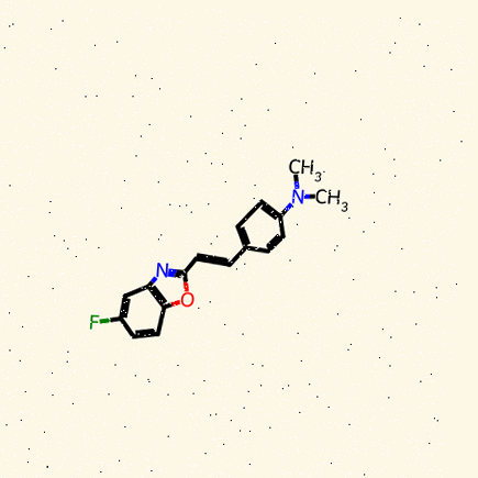 CN(C)c1ccc(C=Cc2nc3cc(F)ccc3o2)cc1